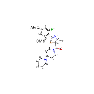 COc1cc(F)c(-c2nc(C)c(C(=O)N3CCC(N4CCCCC4)CC3)s2)c(OC)c1